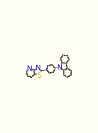 c1cnc2nc(-c3ccc(-n4c5ccccc5c5ccccc54)cc3)sc2c1